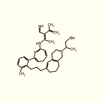 C=C(C)/C(C=N)=C(\C)NC1=NC(c2cccc(C)c2CCCC2=CC3=C(CCC2)CN(C(C)CC(C)(C)C)CC3)=CCC=C1